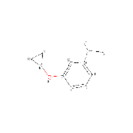 CC(C)c1cccc(OC2CC2)c1